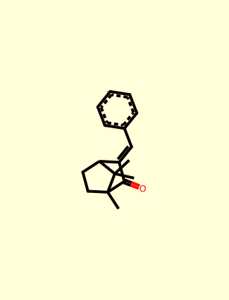 CC12CCC(C(=Cc3cc[c]cc3)C1=O)C2(C)C